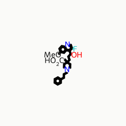 COc1ccc2ncc(F)c(C(O)CCC3(CC(=O)O)CCN(CCCc4ccccc4)CC3)c2c1